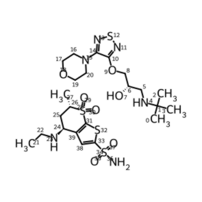 CC(C)(C)NC[C@H](O)COc1nsnc1N1CCOCC1.CCN[C@H]1C[C@H](C)S(=O)(=O)c2sc(S(N)(=O)=O)cc21